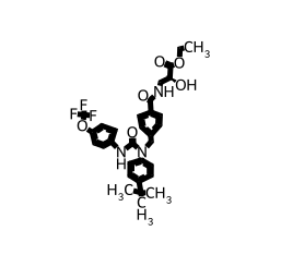 CCOC(=O)[C@@H](O)CNC(=O)c1ccc(CN(C(=O)Nc2ccc(OC(F)(F)F)cc2)c2ccc(C(C)(C)C)cc2)cc1